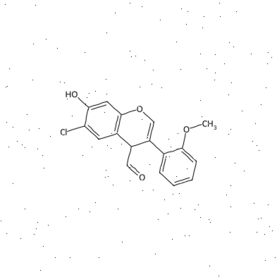 COc1ccccc1C1=COc2cc(O)c(Cl)cc2C1C=O